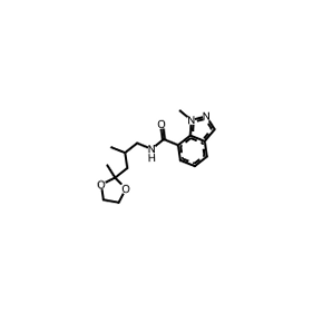 CC(CNC(=O)c1cccc2cnn(C)c12)CC1(C)OCCO1